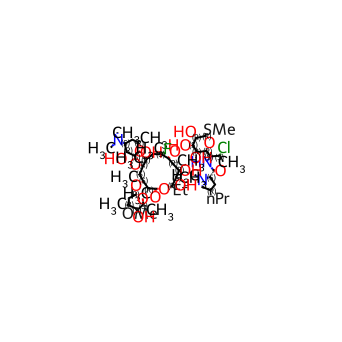 CCC[C@@H]1C[C@@H](C(=O)N[C@@H]([C@H]2O[C@H](SC)[C@H](O)[C@@H](O)[C@H]2O)[C@H](C)Cl)N(C)C1.CC[C@H]1OC(=O)[C@H](C)[C@@H](O[C@H]2C[C@@](C)(OC)[C@@H](O)[C@H](C)O2)[C@H](C)[C@@H](O[C@@H]2O[C@H](C)C[C@H](N(C)C)[C@H]2O)[C@](C)(O)C[C@](C)(F)C(=O)[C@H](C)[C@@H](O)[C@]1(C)O